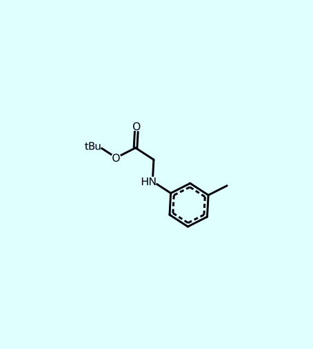 Cc1cccc(NCC(=O)OC(C)(C)C)c1